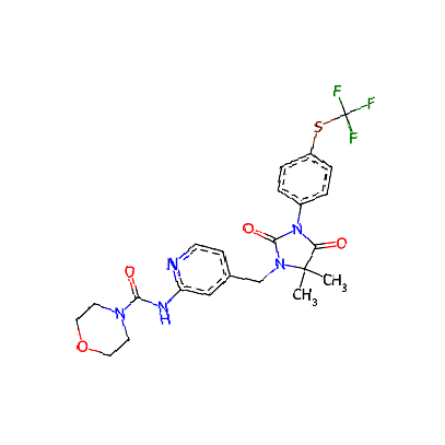 CC1(C)C(=O)N(c2ccc(SC(F)(F)F)cc2)C(=O)N1Cc1ccnc(NC(=O)N2CCOCC2)c1